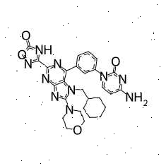 Nc1ccn(-c2cccc(-c3nc(-c4noc(=O)[nH]4)nc4nc(N5CCOCC5)n(CC5CCCCC5)c34)c2)c(=O)n1